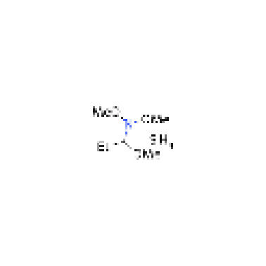 CCC(OC)N(OC)OC.[SiH4]